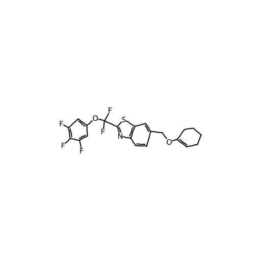 Fc1cc(OC(F)(F)c2nc3ccc(COC4=CCCCC4)cc3s2)cc(F)c1F